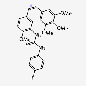 COc1ccc(/C=C\c2cc(OC)c(OC)c(OC)c2)cc1NC(=S)Nc1ccc(F)cc1